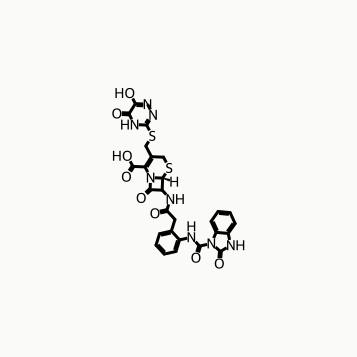 O=C(Cc1ccccc1NC(=O)n1c(=O)[nH]c2ccccc21)NC1C(=O)N2C(C(=O)O)=C(CSc3nnc(O)c(=O)[nH]3)CS[C@H]12